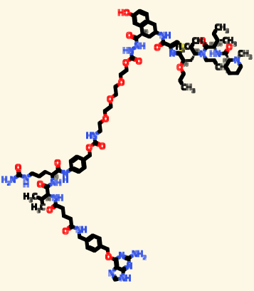 CCCO[C@H](C[C@H](C(C)C)N(CCC)C(=O)[C@@H](NC(=O)[C@H]1CCCCN1C)[C@@H](C)CC)c1nc(C(=O)NC2Cc3ccc(O)cc3[C@H](C(=O)NNC(=O)OCCOCCOCCOCCNC(=O)OCc3ccc(NC(=O)[C@H](CCCNC(N)=O)NC(=O)[C@@H](NC(=O)CCCC(=O)NCc4ccc(COc5nc(N)nc6[nH]cnc56)cc4)C(C)C)cc3)C2)cs1